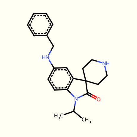 CC(C)N1C(=O)C2(CCNCC2)c2cc(NCc3ccccc3)ccc21